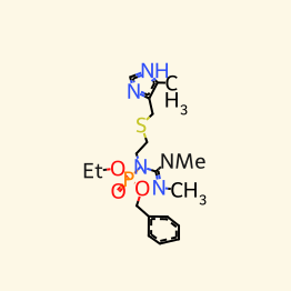 CCOP(=O)(OCc1ccccc1)N(CCSCc1nc[nH]c1C)C(=NC)NC